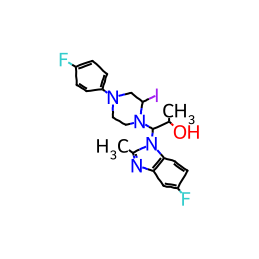 Cc1nc2cc(F)ccc2n1C(C(C)O)N1CCN(c2ccc(F)cc2)CC1I